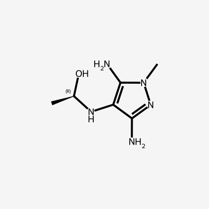 C[C@@H](O)Nc1c(N)nn(C)c1N